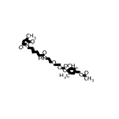 CC(=O)OCc1cc(C)c(OC(=O)OCCOCCNC(=O)CCCCCN2C(=O)CC(C)C2=O)c(C)c1